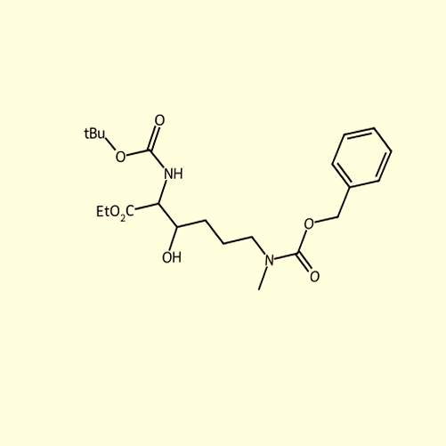 CCOC(=O)C(NC(=O)OC(C)(C)C)C(O)CCCN(C)C(=O)OCc1ccccc1